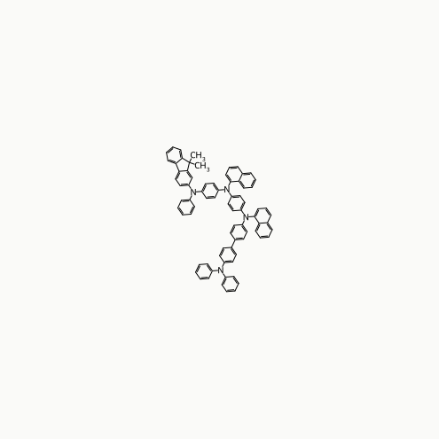 CC1(C)c2ccccc2-c2ccc(N(c3ccccc3)c3ccc(N(c4ccc(N(c5ccc(-c6ccc(N(c7ccccc7)c7ccccc7)cc6)cc5)c5cccc6ccccc56)cc4)c4cccc5ccccc45)cc3)cc21